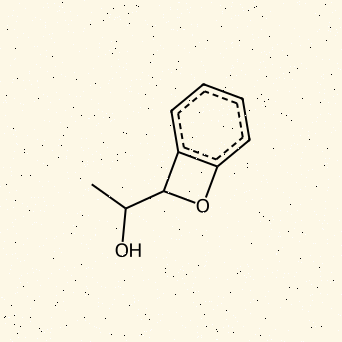 CC(O)C1Oc2ccccc21